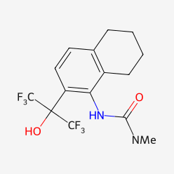 CNC(=O)Nc1c(C(O)(C(F)(F)F)C(F)(F)F)ccc2c1CCCC2